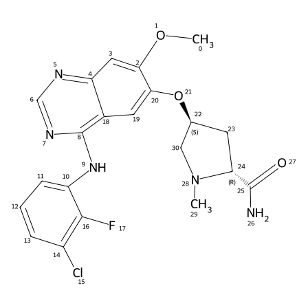 COc1cc2ncnc(Nc3cccc(Cl)c3F)c2cc1O[C@H]1C[C@H](C(N)=O)N(C)C1